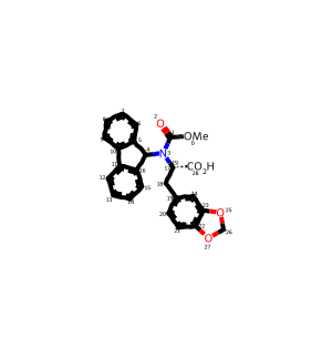 COC(=O)N(C1c2ccccc2-c2ccccc21)[C@@H](Cc1ccc2c(c1)OCO2)C(=O)O